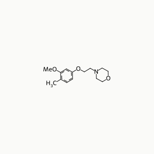 COc1cc(OCCN2CCOCC2)ccc1C